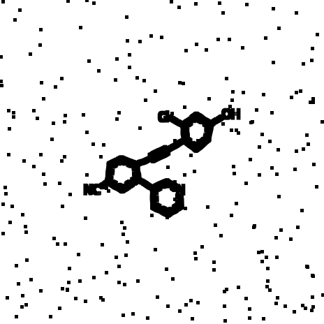 N#Cc1ccc(C#Cc2ccc(O)cc2Cl)c(-c2cccnc2)c1